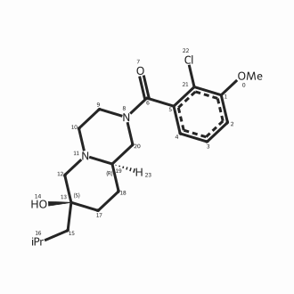 COc1cccc(C(=O)N2CCN3C[C@@](O)(CC(C)C)CC[C@@H]3C2)c1Cl